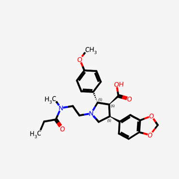 CCC(=O)N(C)CCN1C[C@H](c2ccc3c(c2)OCO3)[C@H](C(=O)O)[C@H]1c1ccc(OC)cc1